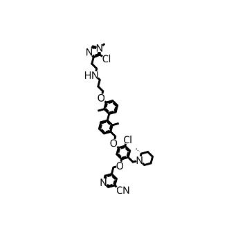 Cc1c(COc2cc(OCc3cncc(C#N)c3)c(CN3CCCC[C@H]3C)cc2Cl)cccc1-c1cccc(OCCCNCCc2ncn(C)c2Cl)c1C